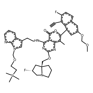 C#Cc1c(F)ccc2cc(OCOC)cc(-c3oc(=O)c4c(NCCc5cn(COCC[Si](C)(C)C)c6ncccc56)nc(OC[C@@]56CCCN5C[C@H](F)C6)nc4c3C)c12